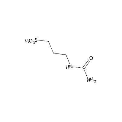 NC(=O)NCCCS(=O)(=O)O